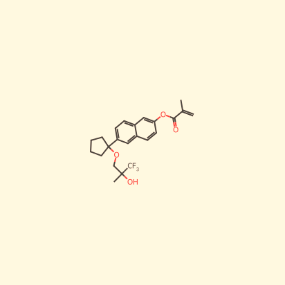 C=C(C)C(=O)Oc1ccc2cc(C3(OCC(C)(O)C(F)(F)F)CCCC3)ccc2c1